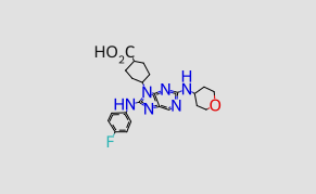 O=C(O)C1CCC(n2c(Nc3ccc(F)cc3)nc3cnc(NC4CCOCC4)nc32)CC1